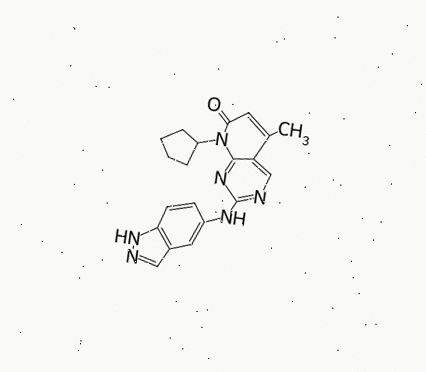 Cc1cc(=O)n(C2CCCC2)c2nc(Nc3ccc4[nH]ncc4c3)ncc12